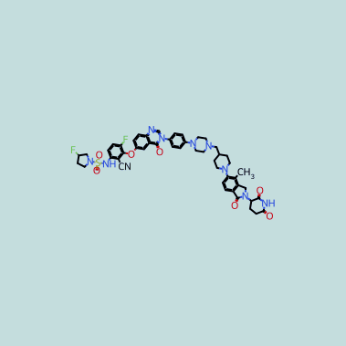 Cc1c(N2CCC(CN3CCN(c4ccc(-n5cnc6ccc(Oc7c(F)ccc(NS(=O)(=O)N8CC[C@@H](F)C8)c7C#N)cc6c5=O)cc4)CC3)CC2)ccc2c1CN(C1CCC(=O)NC1=O)C2=O